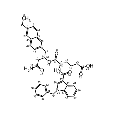 CCc1ccc2cc(C[C@@H](CC(N)=O)OC(=O)[C@H](CCCC(=O)O)NC(=O)c3cn(Cc4ccccc4)c4ccccc34)ccc2c1